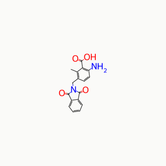 Cc1c(CN2C(=O)c3ccccc3C2=O)ccc(N)c1C(=O)O